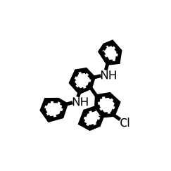 Clc1ccc(-c2c(Nc3ccccc3)cccc2Nc2ccccc2)c2ccccc12